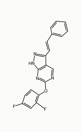 Fc1ccc(Oc2ncc3c(/C=C/c4ccccc4)n[nH]c3n2)c(F)c1